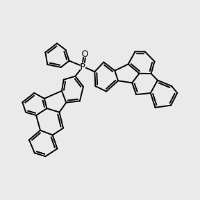 O=P(c1ccccc1)(c1ccc2c(c1)-c1cccc3c1c-2cc1ccccc13)c1ccc2c(c1)-c1cccc3c1c-2cc1ccccc13